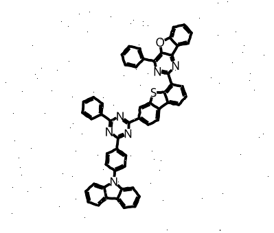 c1ccc(-c2nc(-c3ccc(-n4c5ccccc5c5ccccc54)cc3)nc(-c3ccc4c(c3)sc3c(-c5nc(-c6ccccc6)c6oc7ccccc7c6n5)cccc34)n2)cc1